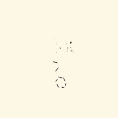 CCC(CN=O)(CN=O)COC(=O)/C=C/c1ccccc1